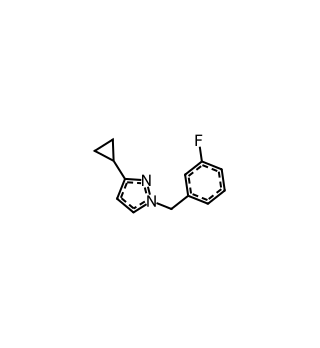 Fc1cccc(Cn2ccc(C3CC3)n2)c1